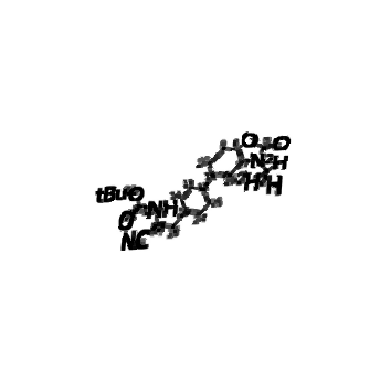 [2H]C([2H])([2H])n1c(=O)oc2ccc(-c3ccc(C[C@@H](C#N)NC(=O)OC(C)(C)C)cc3)cc21